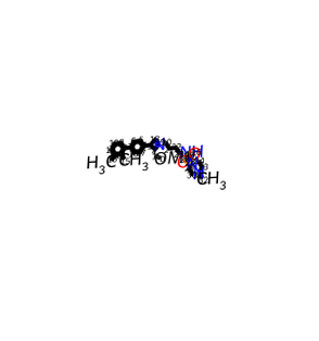 COC[C@@H]1C(c2ccc(-c3cccc(C)c3C)cc2)CN1CCCCNS(=O)(=O)N1CCN(C)CC1